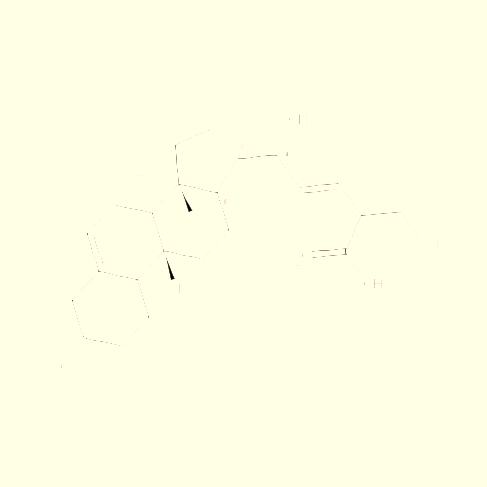 C=C(C)C(C=C[C@@H](C)[C@H]1CC[C@H]2[C@@H]3CC=C4C[C@@H](O)CC[C@]4(C)[C@H]3CC[C@]12C)CC